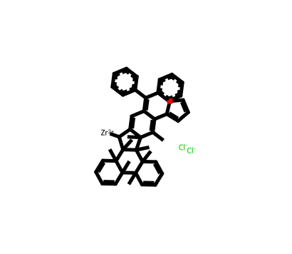 CC1=C(C2=CC=CC2)C(=C(c2ccccc2)c2ccccc2)C=C2[CH]([Zr+2])C3(C)C4(C)C=CC=CC4(C)C4(C)C=CC=CC4(C)C3(C)C21C.[Cl-].[Cl-]